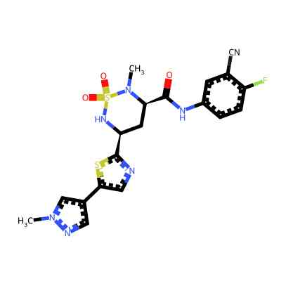 CN1[C@@H](C(=O)Nc2ccc(F)c(C#N)c2)C[C@@H](c2ncc(-c3cnn(C)c3)s2)NS1(=O)=O